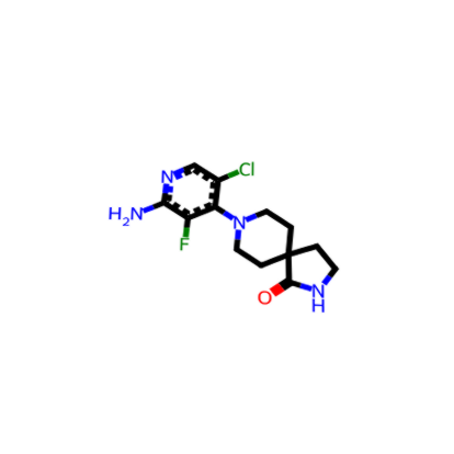 Nc1ncc(Cl)c(N2CCC3(CCNC3=O)CC2)c1F